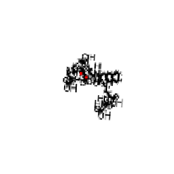 Cc1nc(CNC(=O)/C2=N\CCN(CC(=O)O)CCN(CC(=O)O)CCN(CC(=O)O)C2)sc1C(=O)NC(Cc1ccc2ccccc2c1)C(=O)NCCCCC(NC(=O)NCC(=O)O)C(=O)O